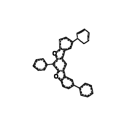 C1=CCC(c2ccc3oc4c(-c5ccccc5)c5oc6ccc(-c7ccccc7)cc6c5cc4c3c2)C=C1